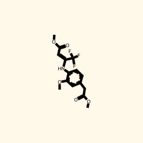 COC(=O)C=C(Nc1ccc(CC(=O)OC)cc1OC)C(F)(F)F